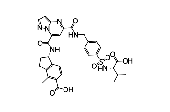 Cc1c(C(=O)O)ccc2c1CC[C@@H]2NC(=O)c1cc(C(=O)NCc2ccc(S(=O)(=O)N[C@H](C(=O)O)C(C)C)cc2)nc2ccnn12